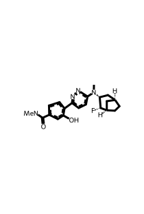 CNC(=O)c1ccc(-c2ccc(N(C)[C@@H]3C[C@H]4CC[C@H](C4)[C@@H]3F)nn2)c(O)c1